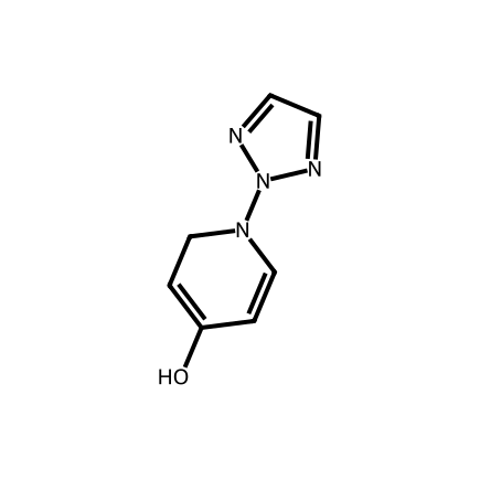 OC1=CCN(n2nccn2)C=C1